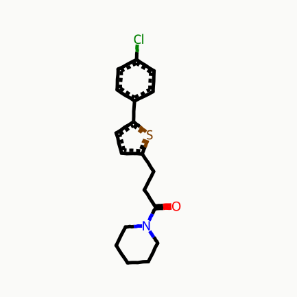 O=C(CCc1ccc(-c2ccc(Cl)cc2)s1)N1CCCCC1